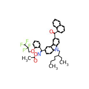 CCCCC(CC)Cn1c2ccc(C(=O)c3cccc4ccccc34)cc2c2cc(/C(=N/OC(C)=O)c3ccccc3OCC(F)(F)C(F)F)ccc21